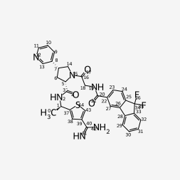 C[C@@H](NC(=O)[C@@H]1C[C@H](c2cccnc2)CN1C(=O)CNC(=O)c1ccc2c(c1)-c1ccccc1C2(F)F)c1cc(C(=N)N)cs1